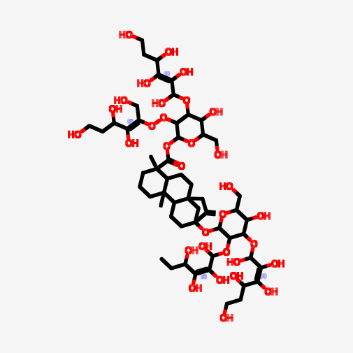 C=C1CC23CCC4C(C)(C(=O)OC5OC(CO)C(O)C(OC(O)/C(O)=C(\O)C(O)CCO)C5OO/C(CO)=C(\O)C(O)CCO)CCCC4(C)C2CCC1(OC1OC(CO)C(O)C(OC(O)/C(O)=C(/O)C(O)CCO)C1OC(O)/C(O)=C(/O)C(O)CC)C3